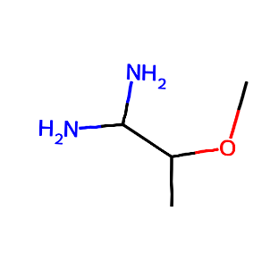 COC(C)C(N)N